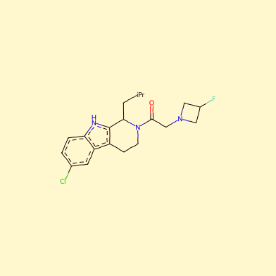 CC(C)CC1c2[nH]c3ccc(Cl)cc3c2CCN1C(=O)CN1CC(F)C1